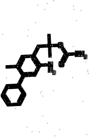 Cc1cc(CC(C)(C)OC(N)=O)c(N)cc1-c1ccccc1